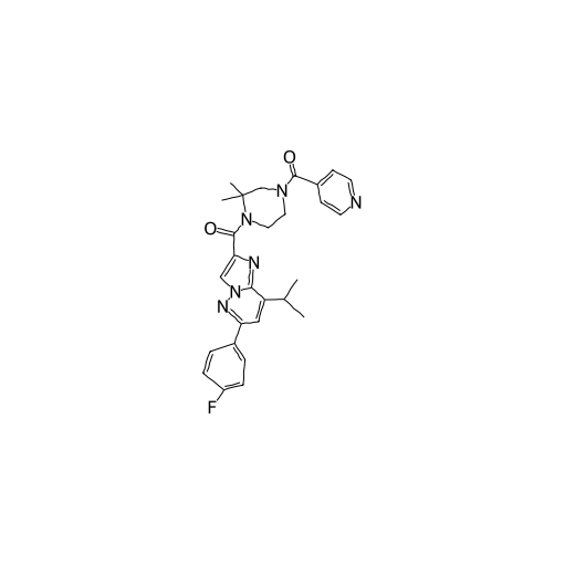 CC(C)c1cc(-c2ccc(F)cc2)nn2cc(C(=O)N3CCN(C(=O)c4ccncc4)CC3(C)C)nc12